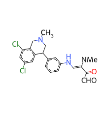 CN/C(=C\Nc1cccc(C2CN(C)Cc3c(Cl)cc(Cl)cc32)c1)C(=O)C=O